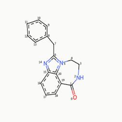 O=C1NCCn2c(Cc3ccccc3)nc3cccc1c32